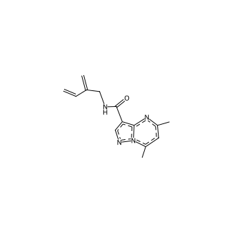 C=CC(=C)CNC(=O)c1cnn2c(C)cc(C)nc12